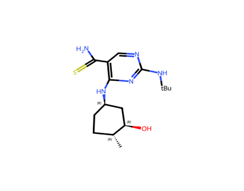 C[C@@H]1CC[C@@H](Nc2nc(NC(C)(C)C)ncc2C(N)=S)C[C@H]1O